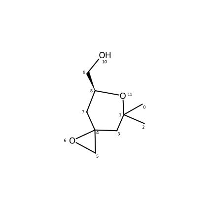 CC1(C)CC2(CO2)C[C@@H](CO)O1